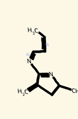 C=C1CC(C)N=C1/N=C\C=C/C